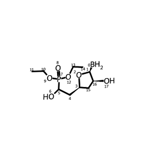 B[C@@H]1O[C@H](CC(O)P(=O)(OCC)OCC)C[C@@H]1O